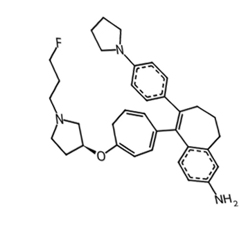 Nc1ccc2c(c1)CCCC(c1ccc(N3CCCC3)cc1)=C2C1=CC=C(O[C@H]2CCN(CCCF)C2)CC=C1